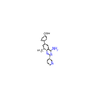 COc1ccc(-c2cc(C)c3nc(-c4cccnc4)nc(N)c3c2)cc1